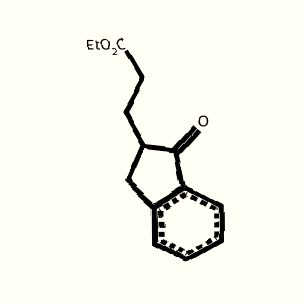 CCOC(=O)CCC1Cc2ccccc2C1=O